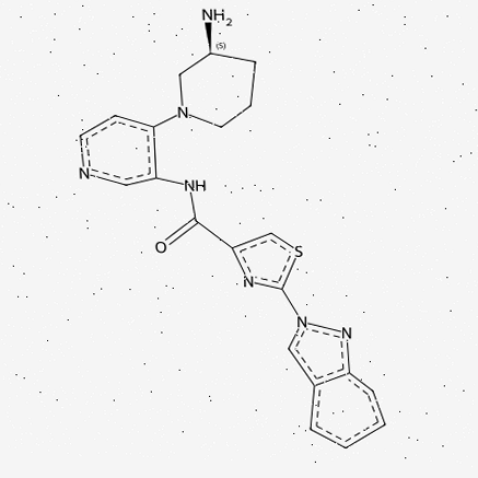 N[C@H]1CCCN(c2ccncc2NC(=O)c2csc(-n3cc4ccccc4n3)n2)C1